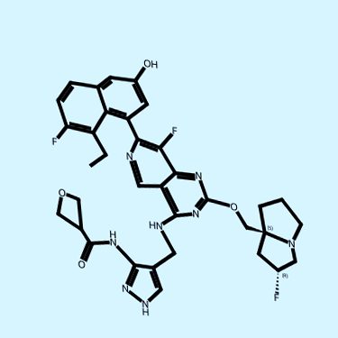 CCc1c(F)ccc2cc(O)cc(-c3ncc4c(NCc5c[nH]nc5NC(=O)C5COC5)nc(OC[C@@]56CCCN5C[C@H](F)C6)nc4c3F)c12